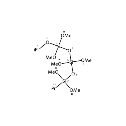 CO[Si](OC)(OC(C)C)O[Si](OC)(OC)O[Si](OC)(OC)C(C)C